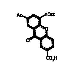 CCCCCCCCc1cc(C(C)=O)cc2c(=O)c3cc(C(=O)O)ccc3oc12